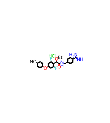 CCOC(C(=O)NCc1ccc(C(=N)N)cc1)c1c(F)cc(Oc2ccc(C#N)cc2)cc1F.Cl